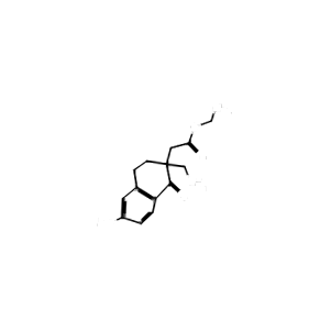 CCOC(=O)CC1(CC)CCc2cc(O)ccc2C1=O